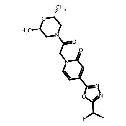 C[C@@H]1CN(C(=O)Cn2ccc(-c3nnc(C(F)F)o3)cc2=O)C[C@@H](C)O1